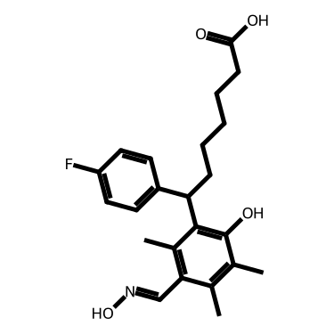 Cc1c(C)c(C=NO)c(C)c(C(CCCCCC(=O)O)c2ccc(F)cc2)c1O